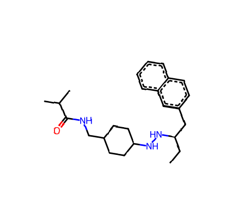 CCC(Cc1ccc2ccccc2c1)NNC1CCC(CNC(=O)C(C)C)CC1